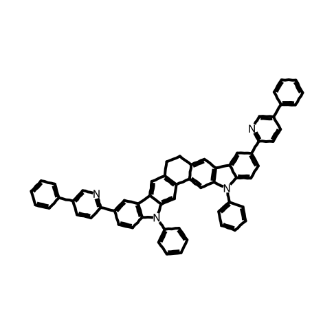 c1ccc(-c2ccc(-c3ccc4c(c3)c3cc5c(cc3n4-c3ccccc3)-c3cc4c(cc3CC5)c3cc(-c5ccc(-c6ccccc6)cn5)ccc3n4-c3ccccc3)nc2)cc1